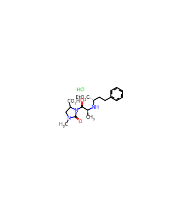 CCOC(=O)[C@H](CCc1ccccc1)N[C@@H](C)C(=O)N1C(=O)N(C)CC1C(=O)O.Cl